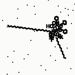 CCCCCCCCCCCCCCCCCCCCCCCCCC(=O)N[C@@H](C[C@H]1O[C@H](C(O)O)[C@H](OCc2ccccc2)[C@H](OCc2ccccc2)[C@H]1OCc1ccccc1)[C@H](O[Si](C)(C)C(C)(C)C)[C@@H](CCCCCCCCCCCCCC)O[Si](C)(C)C(C)(C)C